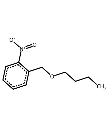 CCCCOCc1ccccc1[N+](=O)[O-]